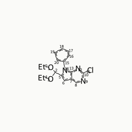 CCOC(OCC)c1cc2cnc(Cl)nc2n1-c1ccccc1